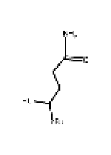 CCCCC(O)CCC(N)=O